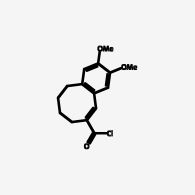 COc1cc2c(cc1OC)CCCC/C(C(=O)Cl)=C\2